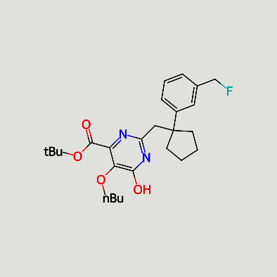 CCCCOc1c(O)nc(CC2(c3cccc(CF)c3)CCCC2)nc1C(=O)OC(C)(C)C